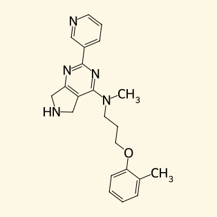 Cc1ccccc1OCCCN(C)c1nc(-c2cccnc2)nc2c1CNC2